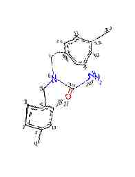 Cc1ccc(CN(Cc2ccc(C)cc2)C(N)=O)cc1